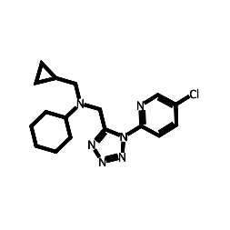 Clc1ccc(-n2nnnc2CN(CC2CC2)C2CCCCC2)nc1